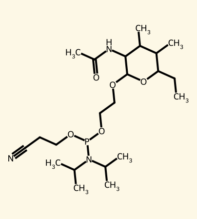 CCC1OC(OCCOP(OCCC#N)N(C(C)C)C(C)C)C(NC(C)=O)C(C)C1C